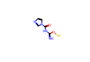 N=C(NC(=O)n1ccnc1)OS